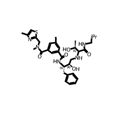 Cc1cc(C(=O)N[C@@H](Cc2ccccc2)[C@H](O)CNC(C(=O)NCC(C)C)[C@H](C)O)cc(C(=O)N(C)Cc2nc(C)cs2)c1